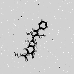 COc1c(-c2ccccc2)nn(C)c1-c1nc2cc(F)c(C(N)=O)cc2[nH]1